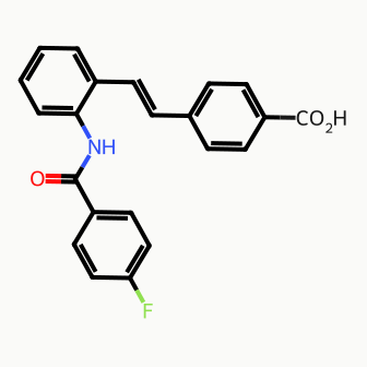 O=C(O)c1ccc(C=Cc2ccccc2NC(=O)c2ccc(F)cc2)cc1